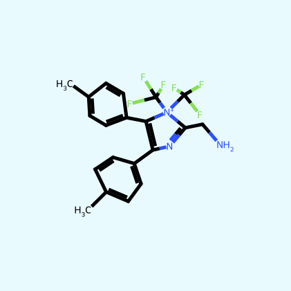 Cc1ccc(C2=C(c3ccc(C)cc3)[N+](C(F)(F)F)(C(F)(F)F)C(CN)=N2)cc1